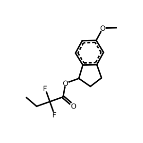 CCC(F)(F)C(=O)OC1CCc2cc(OC)ccc21